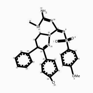 COc1ccc(S(=O)(=O)/N=C(/N=C(/N)[Se]C)N2CCC(c3ccccc3)C(c3ccc(Cl)cc3)=N2)cc1